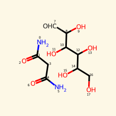 NC(=O)CC(N)=O.O=CC(O)C(O)C(O)C(O)CO